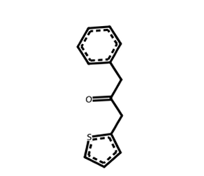 O=C(Cc1ccccc1)Cc1cccs1